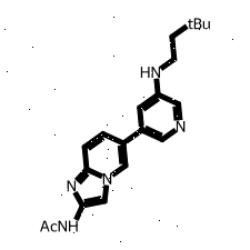 CC(=O)Nc1cn2cc(-c3cncc(NCCC(C)(C)C)c3)ccc2n1